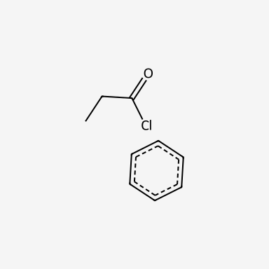 CCC(=O)Cl.c1ccccc1